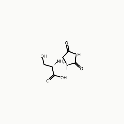 N[C@@H](CO)C(=O)O.O=C1CNC(=O)N1